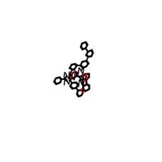 c1ccc(-c2cccc(-c3ccc(-n4c5ccccc5c5ccccc54)c(-c4cccc(-c5nc(-c6ccccc6)nc(-c6ccc(-c7ccccc7)c(-n7c8ccccc8c8ccccc87)c6)n5)c4)c3)c2)cc1